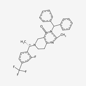 Cc1nc2c(c(=O)n1C(c1ccccc1)c1ccccc1)CN([C@@H](C)c1ccc(C(F)(F)F)cc1F)CC2